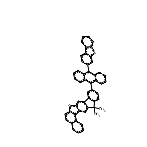 CC1(C)c2ccc(-c3c4ccccc4c(-c4ccc5c(c4)oc4ccccc45)c4ccccc34)cc2-c2cc3oc4ccc5ccccc5c4c3cc21